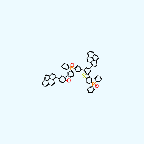 O=P(c1ccccc1)(c1ccc(-c2cc(-c3ccc4ccc5cccc6ccc3c4c56)cc3c2sc2ccc(P(=O)(c4ccccc4)c4ccccc4)cc23)cc1)c1ccc2oc3ccc(-c4ccc5ccc6cccc7ccc4c5c67)cc3c2c1